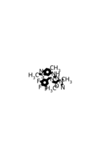 COC1=CN(Cc2cc(F)c(F)c(F)c2)C(Nc2cc3sc(C)nc3cc2C)=NC1N(C)C#N